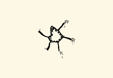 Cc1cc(C(C)C)c(C(C)C)c(C(C)C)c1C